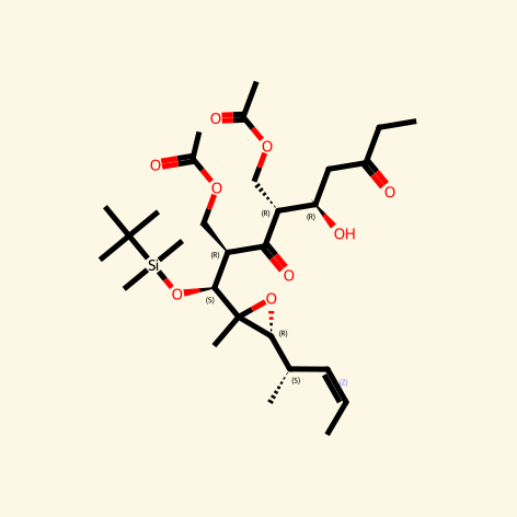 C/C=C\[C@H](C)[C@H]1OC1(C)[C@@H](O[Si](C)(C)C(C)(C)C)[C@@H](COC(C)=O)C(=O)[C@H](COC(C)=O)[C@H](O)CC(=O)CC